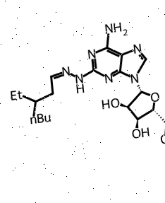 CCCCC(CC)C/C=N\Nc1nc(N)c2ncn([C@@H]3O[C@H](CO)[C@@H](O)[C@H]3O)c2n1